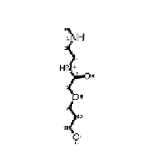 CNCCNC(=O)COCCC[O]